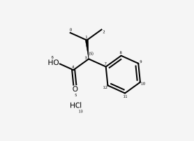 CC(C)[C@H](C(=O)O)c1ccccc1.Cl